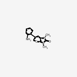 Cn1c(=O)n(C)c2cc(-c3ccccc3N)ccc21